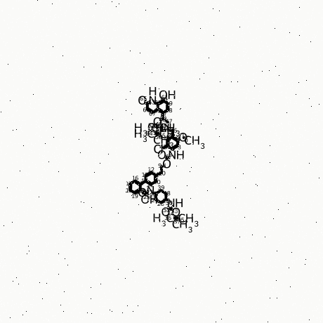 COc1cc(NC(=O)OCCc2ccc(-c3ccccc3)c(N(C(=O)O)C3CCC(NC(=O)OC(C)(C)C)CC3)c2)c(Cl)cc1CNC[C@@H](O[Si](C)(C)C(C)(C)C)c1ccc(O)c2[nH]c(=O)ccc12